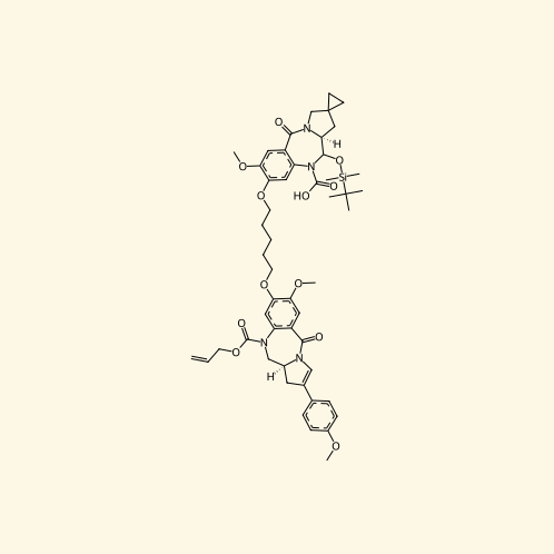 C=CCOC(=O)N1C[C@@H]2CC(c3ccc(OC)cc3)=CN2C(=O)c2cc(OC)c(OCCCCCOc3cc4c(cc3OC)C(=O)N3CC5(CC5)C[C@H]3C(O[Si](C)(C)C(C)(C)C)N4C(=O)O)cc21